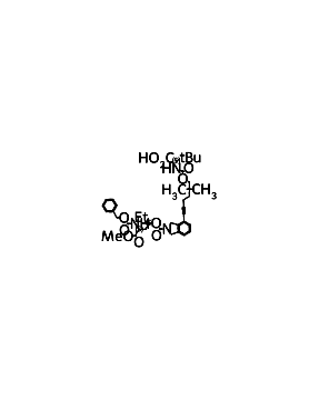 CC[C@@H](C[C@H](NC(=O)OCc1ccccc1)C(=O)OC)OC(=O)N1Cc2cccc(C#CCCC(C)(C)COC(=O)N[C@H](C(=O)O)C(C)(C)C)c2C1